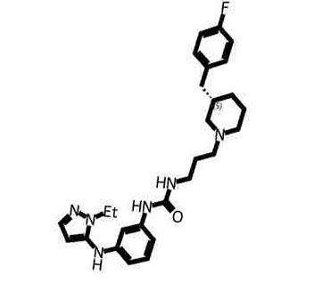 CCn1nccc1Nc1cccc(NC(=O)NCCCN2CCC[C@@H](Cc3ccc(F)cc3)C2)c1